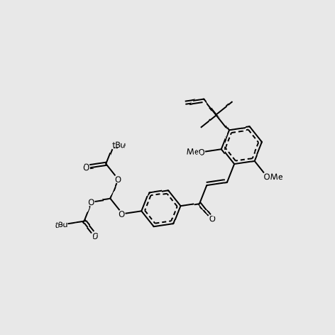 C=CC(C)(C)c1ccc(OC)c(C=CC(=O)c2ccc(OC(OC(=O)C(C)(C)C)OC(=O)C(C)(C)C)cc2)c1OC